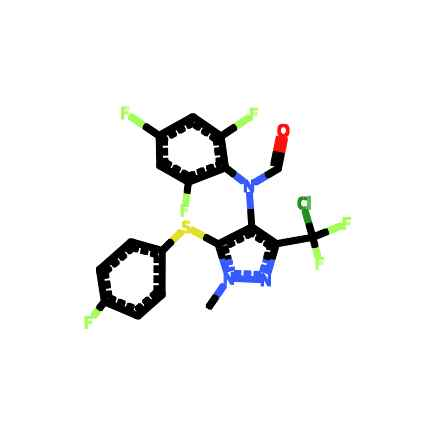 Cn1nc(C(F)(F)Cl)c(N(C=O)c2c(F)cc(F)cc2F)c1Sc1ccc(F)cc1